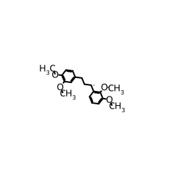 COc1ccc(CC[CH]c2cccc(OC)c2OC)cc1OC